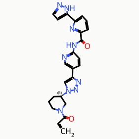 C=CC(=O)N1CCC[C@@H](n2cc(-c3ccc(NC(=O)c4cccc(-c5ccn[nH]5)n4)nc3)nn2)C1